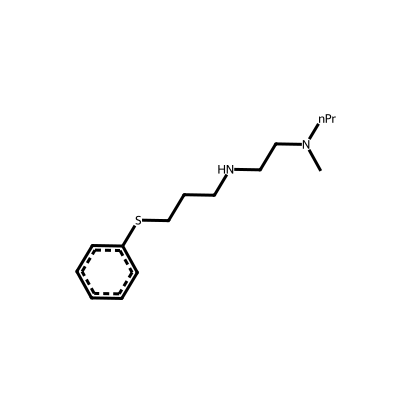 CCCN(C)CCNCCCSc1ccccc1